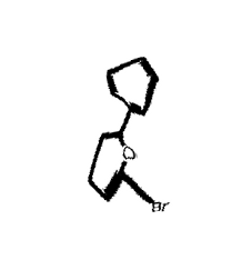 BrC1=CCCC(c2ccccc2)O1